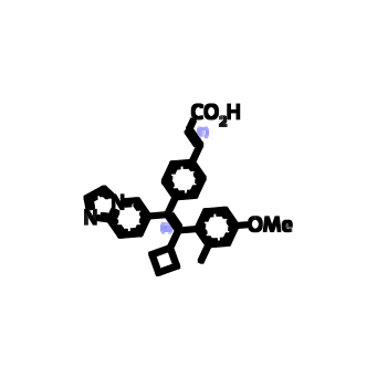 COc1ccc(/C(=C(\c2ccc(/C=C/C(=O)O)cc2)c2ccc3nccn3c2)C2CCC2)c(C)c1